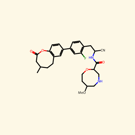 COC1CCOC(C(=O)NC(C#N)Cc2ccc(-c3ccc4c(c3)CCC(C)CC(=O)O4)cc2F)CNC1